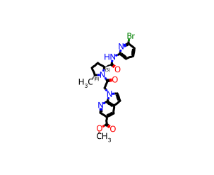 COC(=O)c1cnc2c(ccn2CC(=O)N2[C@H](C)CC[C@H]2C(=O)Nc2cccc(Br)n2)c1